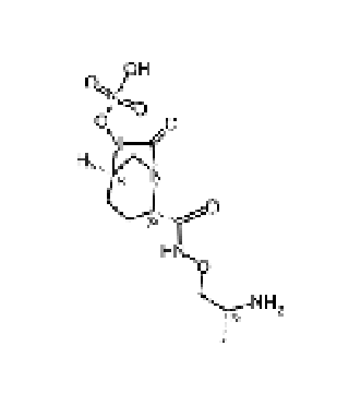 C[C@@H](N)CONC(=O)[C@@H]1CC[C@@H]2CN1C(=O)N2OS(=O)(=O)O